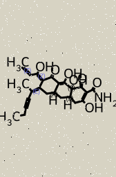 C\C=C/C(O)=C1/C(=O)C2=C(O)[C@]3(O)C(=O)C(C(N)=O)=C(O)C[C@@H]3C[C@@H]2C/C1=C(/C)C#CCC